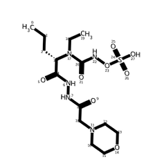 CCC[C@@H](C(=O)NNC(=O)CN1CCOCC1)N(CC)C(=O)NOS(=O)(=O)O